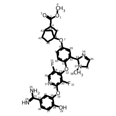 COC(=O)C1CC2(Oc3ccc(Oc4c(F)cnc(Oc5cc(C(=N)N)ccc5O)c4F)c(C4N=CCN4C)c3)CCC1C2